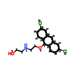 OCCNCCOc1c2ccc(Cl)cc2cc2cc(Cl)ccc12